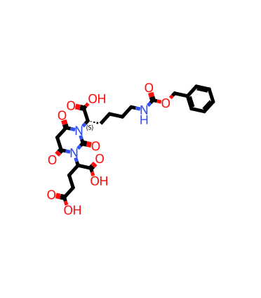 O=C(O)CCC(C(=O)O)N1C(=O)CC(=O)N([C@@H](CCCCNC(=O)OCc2ccccc2)C(=O)O)C1=O